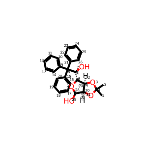 CC1(C)O[C@@H]2[C@@H](C(O)C(c3ccccc3)(c3ccccc3)c3ccccc3)OC(O)[C@@H]2O1